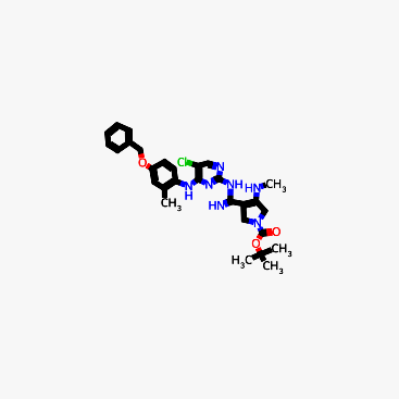 CNC1=C(C(=N)Nc2ncc(Cl)c(Nc3ccc(OCc4ccccc4)cc3C)n2)CN(C(=O)OC(C)(C)C)C1